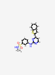 CNS(=O)(=O)c1cccc(Nc2nccc(-c3cc4ccccc4s3)n2)c1